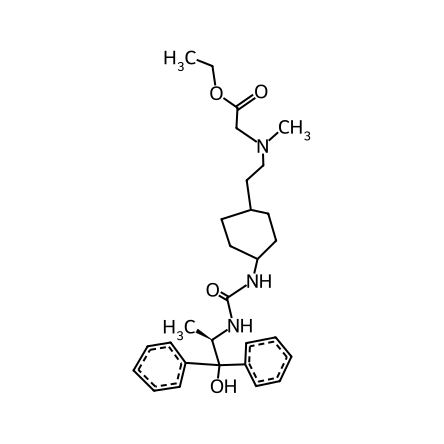 CCOC(=O)CN(C)CCC1CCC(NC(=O)N[C@H](C)C(O)(c2ccccc2)c2ccccc2)CC1